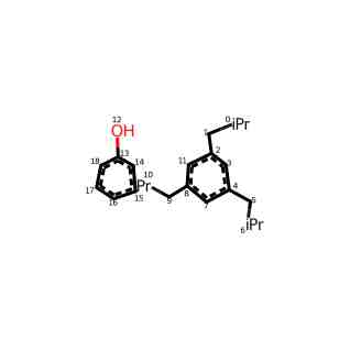 CC(C)Cc1cc(CC(C)C)cc(CC(C)C)c1.Oc1ccccc1